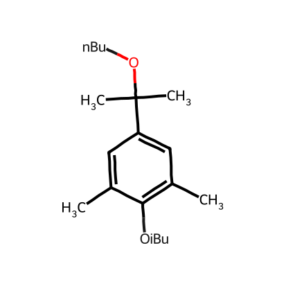 CCCCOC(C)(C)c1cc(C)c(OCC(C)C)c(C)c1